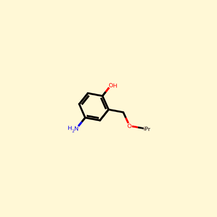 CC(C)OCc1cc(N)ccc1O